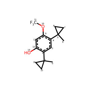 CC1(c2cc(C3(C)CC3)c(OC(F)(F)F)cc2O)CC1